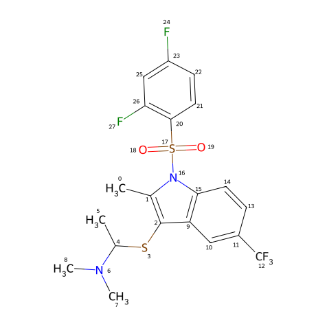 Cc1c(SC(C)N(C)C)c2cc(C(F)(F)F)ccc2n1S(=O)(=O)c1ccc(F)cc1F